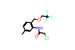 Cc1ccc(COCC(F)(F)F)c(NC(=O)CCl)c1